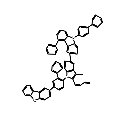 C=C/C=C\c1c(C)c2cc(-c3ccc4c(c3)c3c(-c5ccccc5)cccc3n4-c3ccc(-c4ccccc4)cc3)ccc2n1-c1ccc(-c2ccc3oc4ccccc4c3c2)cc1-c1ccccc1